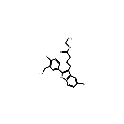 CCOC(=O)CCCc1c(-c2ccc(F)c(CN)c2)[nH]c2ccc(Cl)cc12